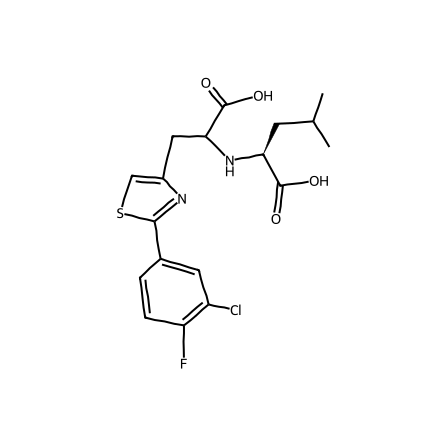 CC(C)C[C@H](NC(Cc1csc(-c2ccc(F)c(Cl)c2)n1)C(=O)O)C(=O)O